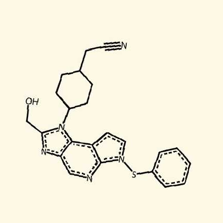 N#CCC1CCC(n2c(CO)nc3cnc4c(ccn4Sc4ccccc4)c32)CC1